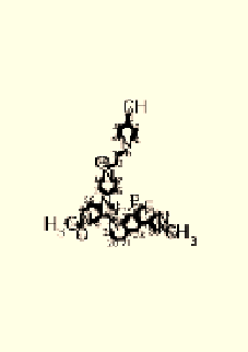 C#CC1CCN(CCCC(=O)N2CCC(n3nc(N4CCCc5cc(-c6cnn(C)c6)c(C(F)F)cc54)c4c3CCN(C(C)=O)C4)CC2)CC1